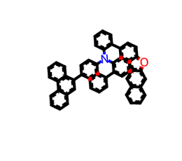 c1ccc(-c2ccccc2N(c2ccc(-c3cc4ccccc4c4ccccc34)cc2)c2ccccc2-c2ccc3oc4cc5ccccc5cc4c3c2)cc1